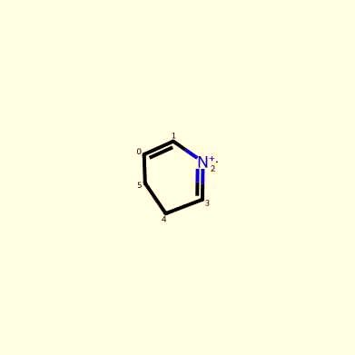 C1=C[N+]=CCC1